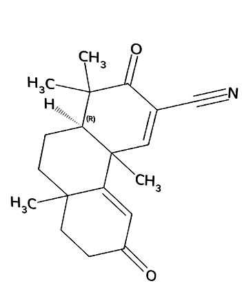 CC12CCC(=O)C=C1C1(C)C=C(C#N)C(=O)C(C)(C)[C@@H]1CC2